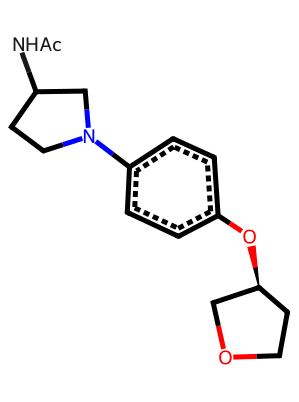 CC(=O)NC1CCN(c2ccc(O[C@H]3CCOC3)cc2)C1